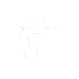 O=C(O)c1noc(-c2ccccc2)c1CCC(F)(F)F